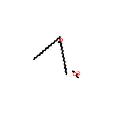 C=C(CCCCCCCCCCCCCCCCCC)OC(=C)CCCCCCCCCCCCCCCCCC.C=COC(=O)CC